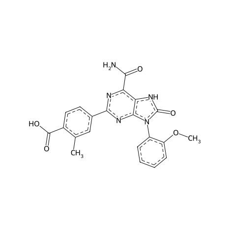 COc1ccccc1-n1c(=O)[nH]c2c(C(N)=O)nc(-c3ccc(C(=O)O)c(C)c3)nc21